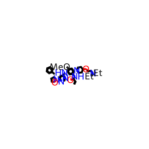 C=CC(=O)Nc1cc(Nc2cc(N3OCC[C@@H]3Cc3ccccc3)ncn2)c(OC)cc1N1CCC(OCCN(CC)CC)CC1